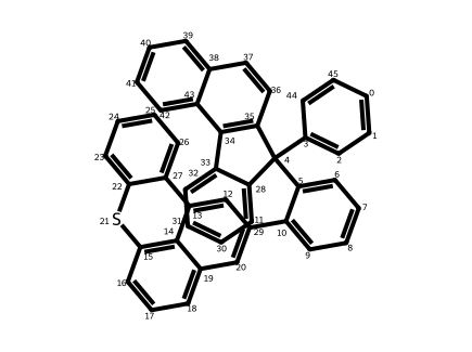 c1ccc(C2(c3ccccc3-c3cc4c5c(cccc5c3)Sc3ccccc3-4)c3ccccc3-c3c2ccc2ccccc32)cc1